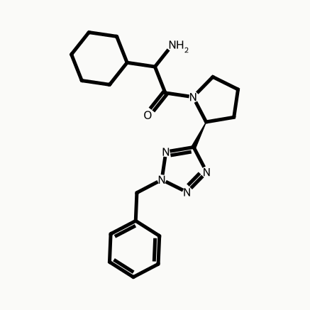 NC(C(=O)N1CCC[C@H]1c1nnn(Cc2ccccc2)n1)C1CCCCC1